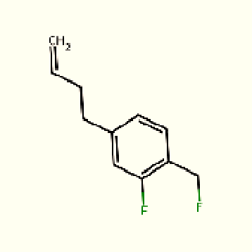 C=CCCc1ccc(CF)c(F)c1